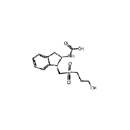 O=C(O)N[C@@H]1Cc2ccccc2[C@@H]1CS(=O)(=O)CCCO